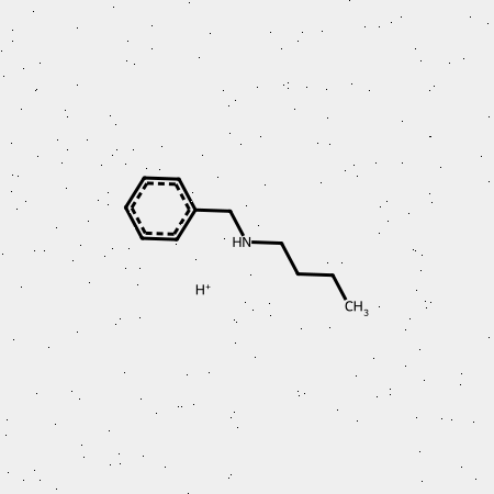 CCCCNCc1ccccc1.[H+]